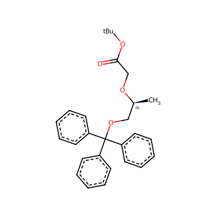 C[C@@H](COC(c1ccccc1)(c1ccccc1)c1ccccc1)OCC(=O)OC(C)(C)C